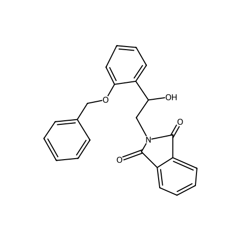 O=C1c2ccccc2C(=O)N1CC(O)c1ccccc1OCc1ccccc1